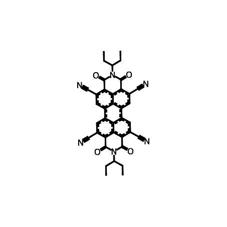 CCC(CC)N1C(=O)c2c(C#N)cc3c4cc(C#N)c5c6c(c(C#N)cc(c7cc(C#N)c(c2c37)C1=O)c64)C(=O)N(C(CC)CC)C5=O